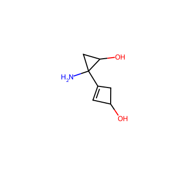 NC1(C2=CC(O)C2)CC1O